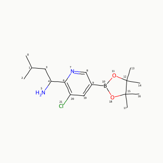 CC(C)CC(N)c1ncc(B2OC(C)(C)C(C)(C)O2)cc1Cl